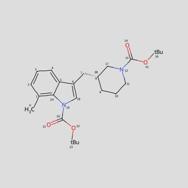 Cc1cccc2c(C[C@H]3CCCN(C(=O)OC(C)(C)C)C3)cn(C(=O)OC(C)(C)C)c12